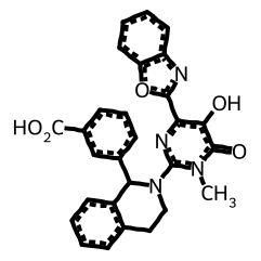 Cn1c(N2CCc3ccccc3C2c2cccc(C(=O)O)c2)nc(-c2nc3ccccc3o2)c(O)c1=O